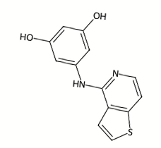 Oc1cc(O)cc(Nc2nccc3sccc23)c1